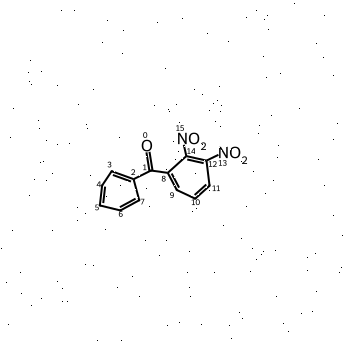 O=C(c1ccccc1)c1cccc([N+](=O)[O-])c1[N+](=O)[O-]